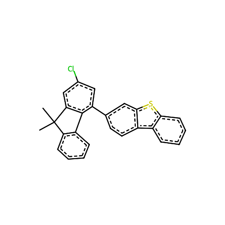 CC1(C)c2ccccc2-c2c(-c3ccc4c(c3)sc3ccccc34)cc(Cl)cc21